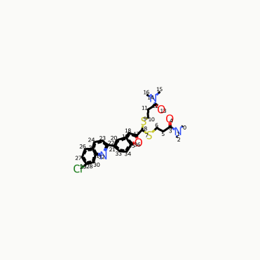 CN(C)C(=O)CCSC(SCCC(=O)N(C)C)c1cc2cc(-c3ccc4ccc(Cl)cc4n3)ccc2o1